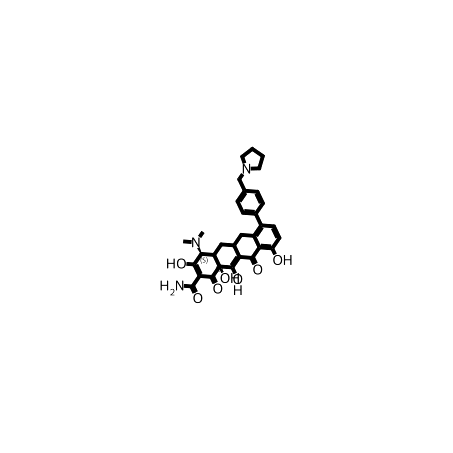 CN(C)[C@@H]1C(O)=C(C(N)=O)C(=O)[C@@]2(O)C(O)=C3C(=O)c4c(O)ccc(-c5ccc(CN6CCCC6)cc5)c4CC3CC12